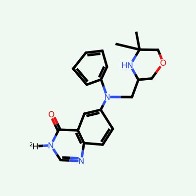 [2H]n1cnc2ccc(N(CC3COCC(C)(C)N3)c3ccccc3)cc2c1=O